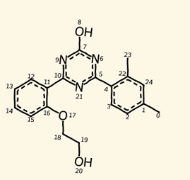 Cc1ccc(-c2nc(O)nc(-c3ccccc3OCCO)n2)c(C)c1